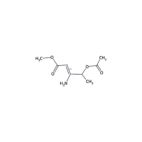 COC(=O)/C=C(\N)C(C)OC(C)=O